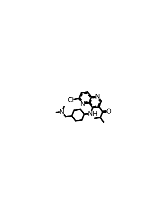 CC(C)C(=O)c1cnc2ccc(Cl)nc2c1NC1CCC(CN(C)C)CC1